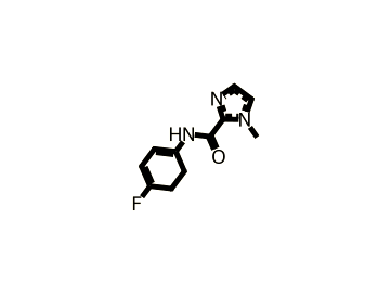 Cn1ccnc1C(=O)NC1=CC=C(F)CC1